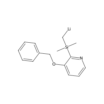 [Li][CH2][Si](C)(C)c1ncccc1OCc1ccccc1